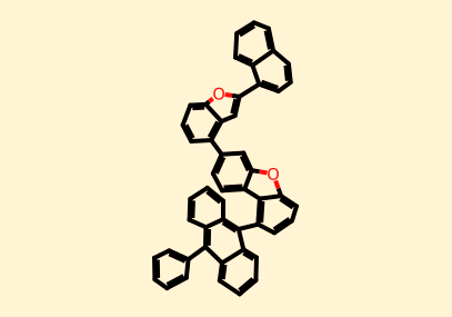 c1ccc(-c2c3ccccc3c(-c3cccc4oc5cc(-c6cccc7oc(-c8cccc9ccccc89)cc67)ccc5c34)c3ccccc23)cc1